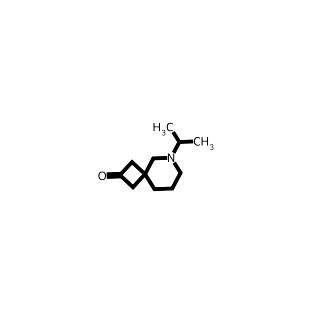 CC(C)N1CCCC2(CC(=O)C2)C1